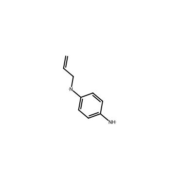 C=CC[N]c1ccc([NH])cc1